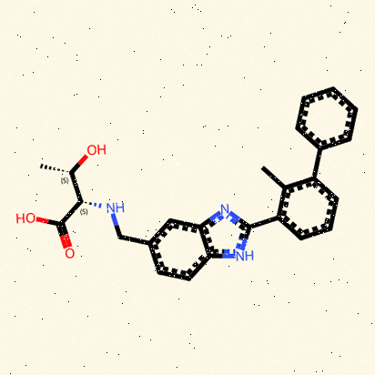 Cc1c(-c2ccccc2)cccc1-c1nc2cc(CN[C@H](C(=O)O)[C@H](C)O)ccc2[nH]1